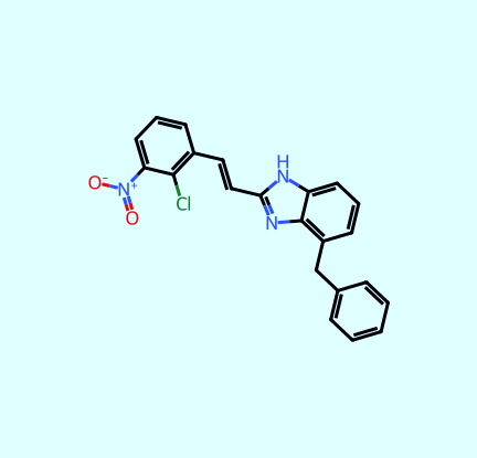 O=[N+]([O-])c1cccc(C=Cc2nc3c(Cc4ccccc4)cccc3[nH]2)c1Cl